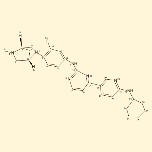 CN1C[C@@H]2C[C@H]1CN2c1ccc(Nc2nccc(-c3ccc(NC4CCCCC4)nc3)n2)cc1F